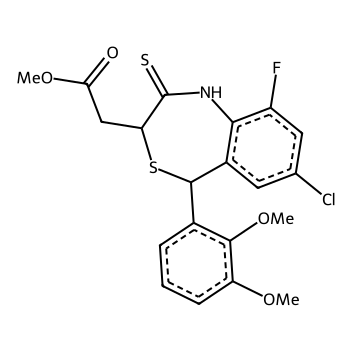 COC(=O)CC1SC(c2cccc(OC)c2OC)c2cc(Cl)cc(F)c2NC1=S